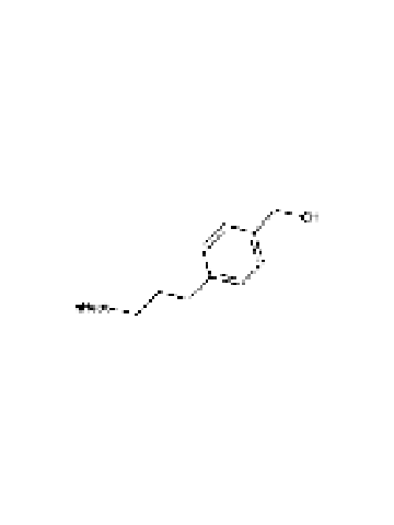 CCCCCCCCCCc1ccc(CO)cc1